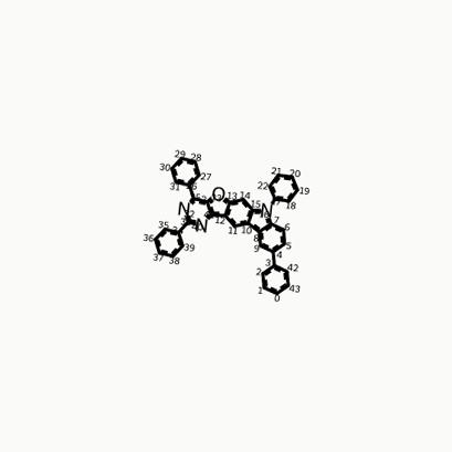 c1ccc(-c2ccc3c(c2)c2cc4c(cc2n3-c2ccccc2)oc2c(-c3ccccc3)nc(-c3ccccc3)nc24)cc1